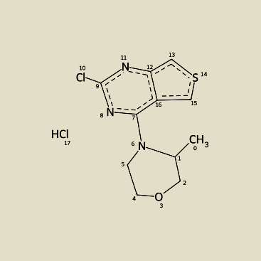 CC1COCCN1c1nc(Cl)nc2cscc12.Cl